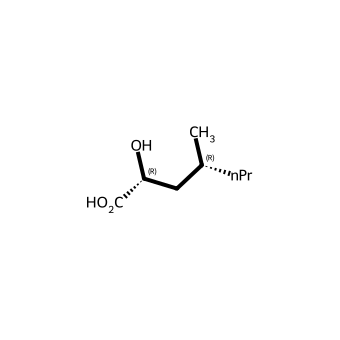 CCC[C@@H](C)C[C@@H](O)C(=O)O